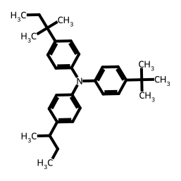 CCC(C)c1ccc(N(c2ccc(C(C)(C)C)cc2)c2ccc(C(C)(C)CC)cc2)cc1